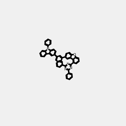 c1ccc(-c2nc(-c3ccccc3)nc(-c3cccc4oc5ccc(-c6cccc(-c7ccc8c(c7)c7ccccc7n8-c7ccccc7)c6)cc5c34)n2)cc1